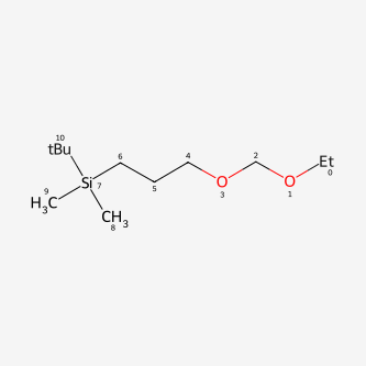 CCOCOCCC[Si](C)(C)C(C)(C)C